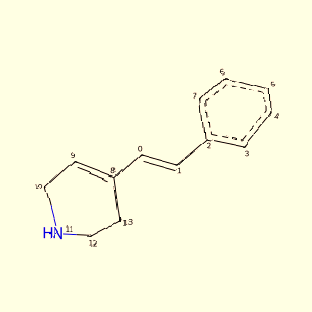 C(=Cc1ccccc1)C1=CCNCC1